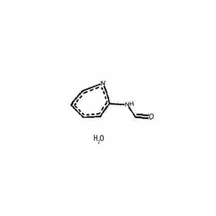 O.O=CNc1ccccn1